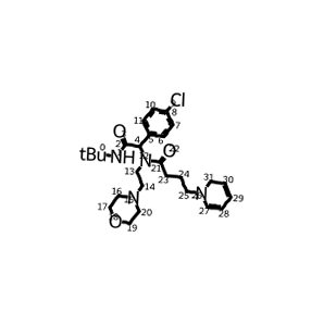 CC(C)(C)NC(=O)C(c1ccc(Cl)cc1)N(CCN1CCOCC1)C(=O)CCCN1C=CC=CC1